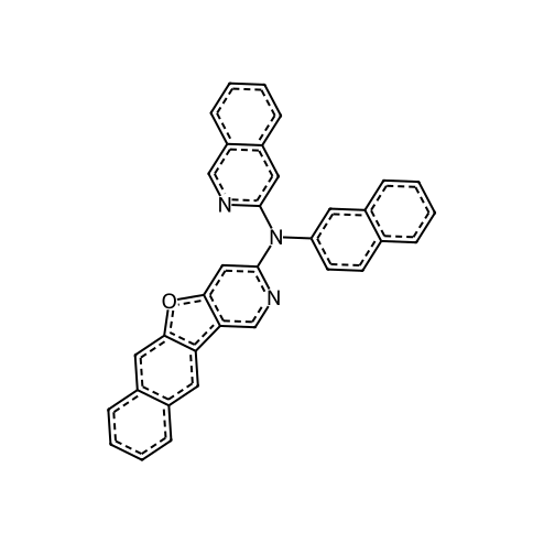 c1ccc2cc(N(c3cc4ccccc4cn3)c3cc4oc5cc6ccccc6cc5c4cn3)ccc2c1